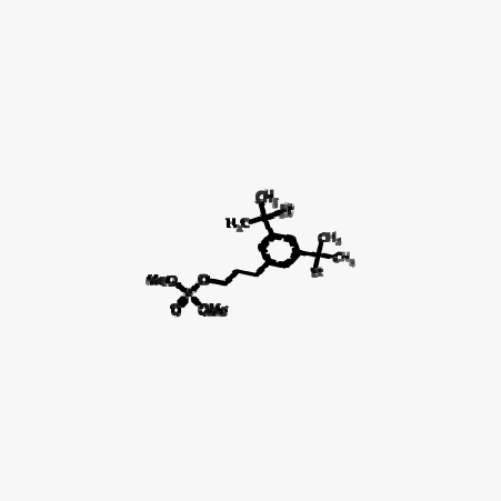 CCC(C)(C)c1cc(CCCOP(=O)(OC)OC)cc(C(C)(C)CC)c1